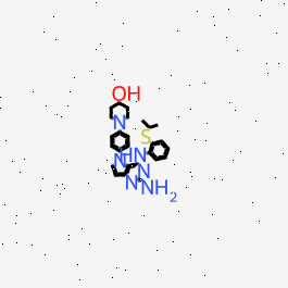 CC(C)Sc1ccccc1Nc1nc(N)nc2ccn(-c3ccc(N4CCC(O)CC4)cc3)c12